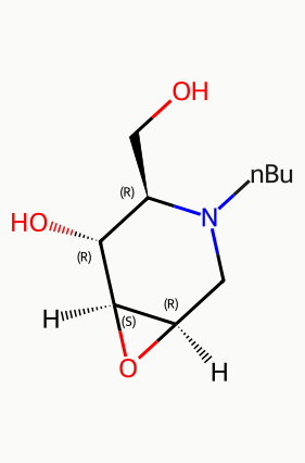 CCCCN1C[C@H]2O[C@H]2[C@H](O)[C@H]1CO